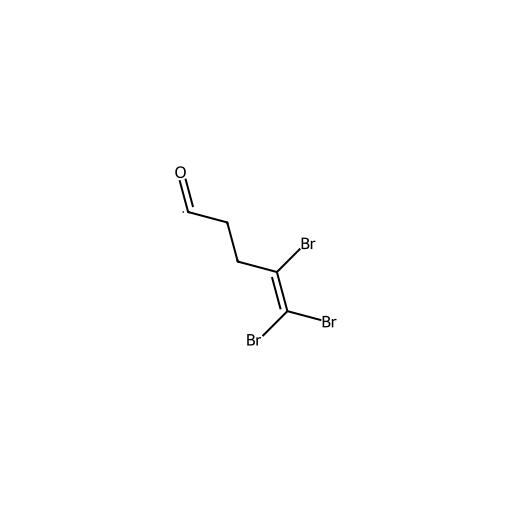 O=[C]CCC(Br)=C(Br)Br